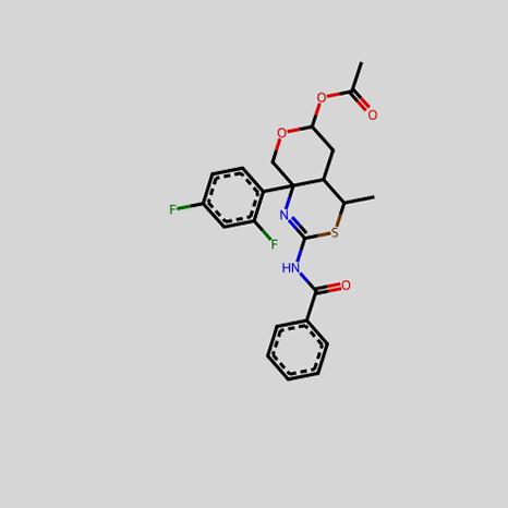 CC(=O)OC1CC2C(C)SC(NC(=O)c3ccccc3)=NC2(c2ccc(F)cc2F)CO1